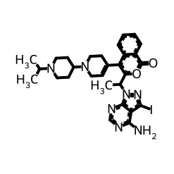 CC(C)N1CCC(N2CC=C(c3c(C(C)n4nc(I)c5c(N)ncnc54)oc(=O)c4ccccc34)CC2)CC1